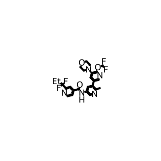 CCC(F)(F)c1cc(C(=O)Nc2cnc(C)c(-c3cnc(OC(F)F)c(N4CCOCC4)c3)c2)ccn1